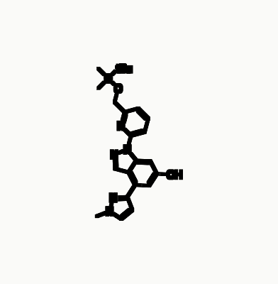 Cn1ccc(-c2cc(O)cc3c2cnn3-c2cccc(CO[Si](C)(C)C(C)(C)C)n2)n1